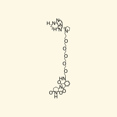 [2H]c1nc([C@@H]2CCCN2CCCOCCOCCOCCOCCOCCNc2cccc3c2C(=O)N(C2CCC(=O)NC2=O)C3=O)n2ccnc(N)c12